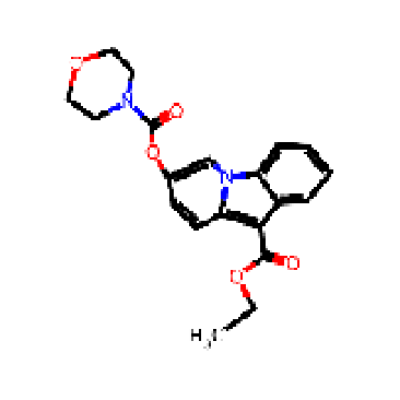 CCOC(=O)c1c2ccccc2n2cc(OC(=O)N3CCOCC3)ccc12